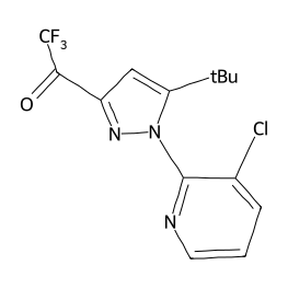 CC(C)(C)c1cc(C(=O)C(F)(F)F)nn1-c1ncccc1Cl